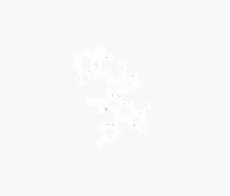 O=C(O)N[C@H](C(=O)Nc1cccc(F)c1OCC1CNC2CCCS(O)(O)N1C2)[C@@H](c1ccc(F)cc1)c1cc(F)cc(F)c1